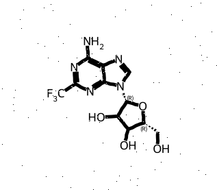 Nc1nc(C(F)(F)F)nc2c1ncn2[C@@H]1O[C@H](CO)C(O)C1O